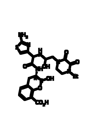 CCN1CCN(CC(O)NC(C(=O)N[C@H]2Cc3cccc(C(=O)O)c3OB2O)c2csc(N)n2)C(=O)C1=O